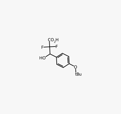 CC(C)(C)Oc1ccc(C(O)C(F)(F)C(=O)O)cc1